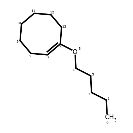 CCCCCOC1=CCCCCCC1